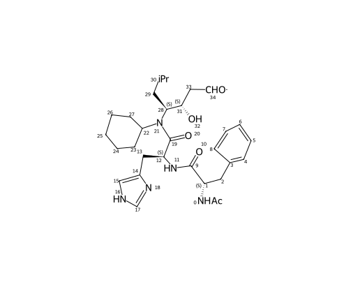 CC(=O)N[C@@H](Cc1ccccc1)C(=O)N[C@@H](Cc1c[nH]cn1)C(=O)N(C1CCCCC1)[C@@H](CC(C)C)[C@@H](O)C[C]=O